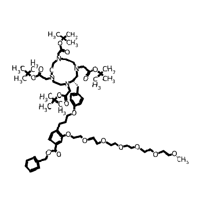 COCCOCCOCCOCCOCCOCCOc1cc(C(=O)OCc2ccccc2)ccc1CCCOc1ccc(C[C@H]2CN(CC(=O)OC(C)(C)C)CCN(CC(=O)OC(C)(C)C)CCN(CC(=O)OC(C)(C)C)CCN2CC(=O)OC(C)(C)C)cc1